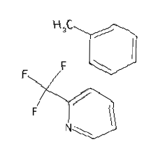 Cc1ccccc1.FC(F)(F)c1ccccn1